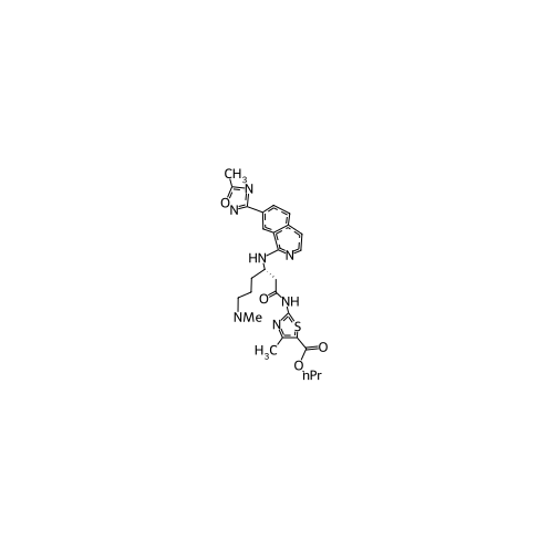 CCCOC(=O)c1sc(NC(=O)C[C@H](CCCNC)Nc2nccc3ccc(-c4noc(C)n4)cc23)nc1C